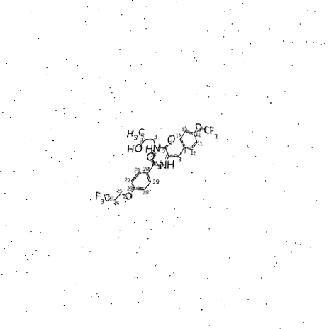 C[C@@H](O)CNC(=O)/C(=C\c1ccc(OC(F)(F)F)cc1)NC(=O)c1ccc(OCCC(F)(F)F)cc1